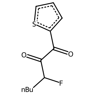 CCCCC(F)C(=O)C(=O)c1cccs1